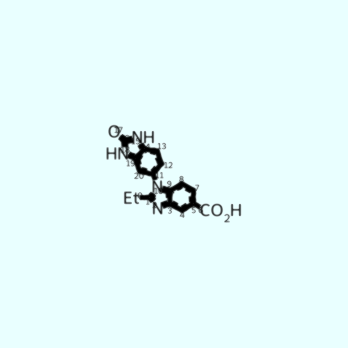 CCc1nc2cc(C(=O)O)ccc2n1-c1ccc2[nH]c(=O)[nH]c2c1